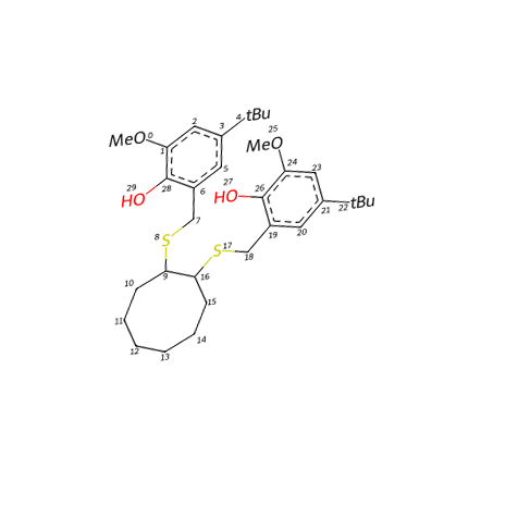 COc1cc(C(C)(C)C)cc(CSC2CCCCCCC2SCc2cc(C(C)(C)C)cc(OC)c2O)c1O